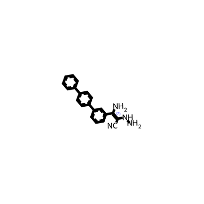 N#C/C(NN)=C(/N)c1cccc(-c2ccc(-c3ccccc3)cc2)c1